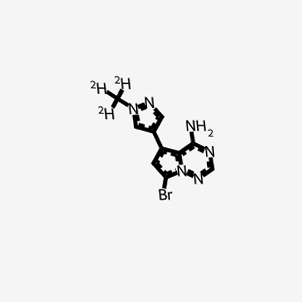 [2H]C([2H])([2H])n1cc(-c2cc(Br)n3ncnc(N)c23)cn1